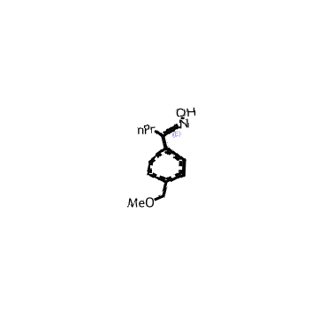 CCC/C(=N\O)c1ccc(COC)cc1